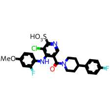 COc1ccc(Nc2c(C(=O)N3CCC(c4ccc(F)cc4)CC3)cnc(S(=O)(=O)O)c2Cl)c(F)c1